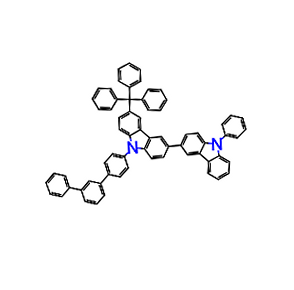 c1ccc(-c2cccc(-c3ccc(-n4c5ccc(-c6ccc7c(c6)c6ccccc6n7-c6ccccc6)cc5c5cc(C(c6ccccc6)(c6ccccc6)c6ccccc6)ccc54)cc3)c2)cc1